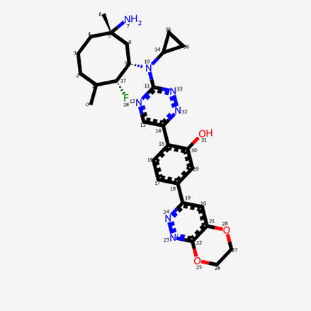 CC1CCC[C@](C)(N)C[C@H](N(c2ncc(-c3ccc(-c4cc5c(nn4)OCCO5)cc3O)nn2)C2CC2)[C@@H]1F